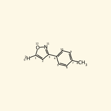 [2H]c1cc(-c2ccc(C)cc2)no1